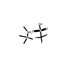 C[SiH2][Si](C)(C)C.O=S(=O)(O)C(F)(F)F